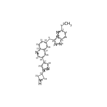 CCc1ccc2nnc(Cc3ccc4ncc(-c5cnn(C6CNC6)c5)cc4c3)n2n1